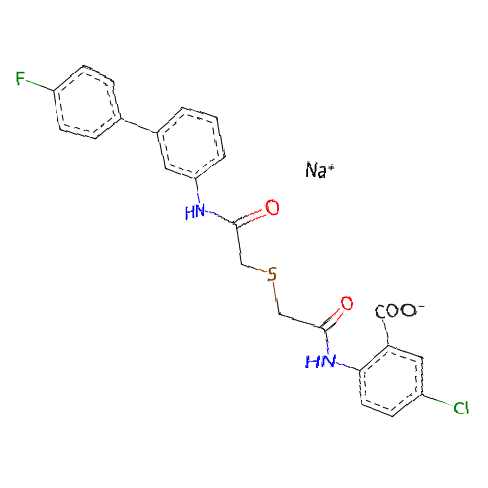 O=C(CSCC(=O)Nc1ccc(Cl)cc1C(=O)[O-])Nc1cccc(-c2ccc(F)cc2)c1.[Na+]